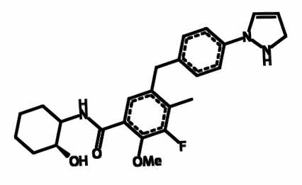 COc1c(C(=O)NC2CCCC[C@@H]2O)cc(Cc2ccc(N3C=CCN3)cc2)c(C)c1F